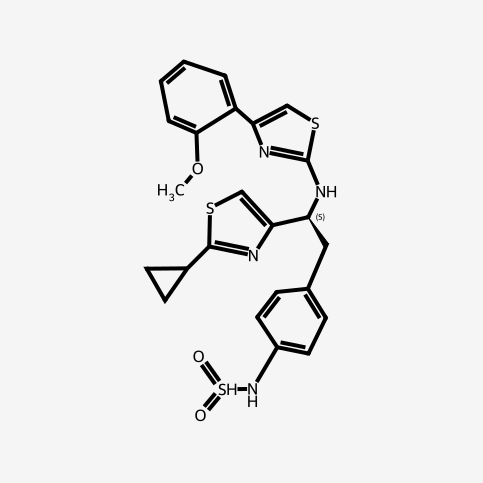 COc1ccccc1-c1csc(N[C@@H](Cc2ccc(N[SH](=O)=O)cc2)c2csc(C3CC3)n2)n1